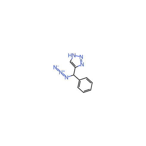 [N-]=[N+]=NC(c1ccccc1)c1c[nH]nn1